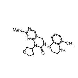 CSc1ncc2c(n1)N(C1CCOC1)C(=O)N([C@H]1CCNc3c(C)cccc31)C2